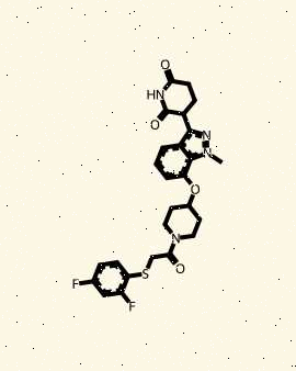 Cn1nc(C2CCC(=O)NC2=O)c2cccc(OC3CCN(C(=O)CSc4ccc(F)cc4F)CC3)c21